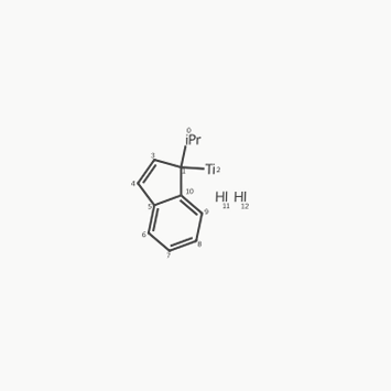 CC(C)[C]1([Ti])C=Cc2ccccc21.I.I